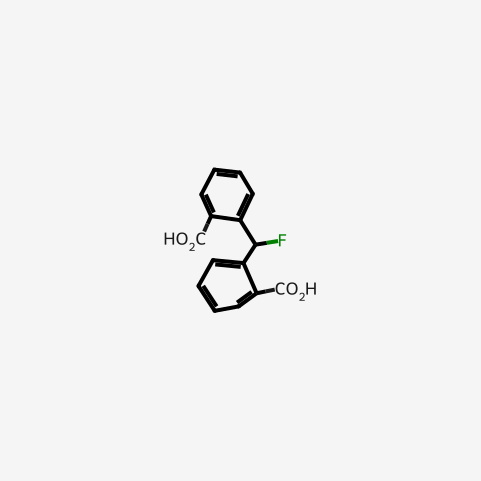 O=C(O)c1ccccc1C(F)c1ccccc1C(=O)O